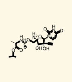 C#C[C@]1(O)[C@H](n2ccc(=O)[nH]c2=O)O[C@](N)(CO[PH](=O)N[C@@H](C)C(=O)OC(C)C)[C@H]1O